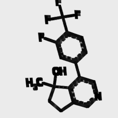 CC1(O)CCc2cncc(-c3ccc(C(F)(F)F)c(F)c3)c21